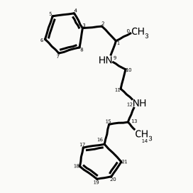 CC(Cc1ccccc1)NCCNC(C)Cc1ccccc1